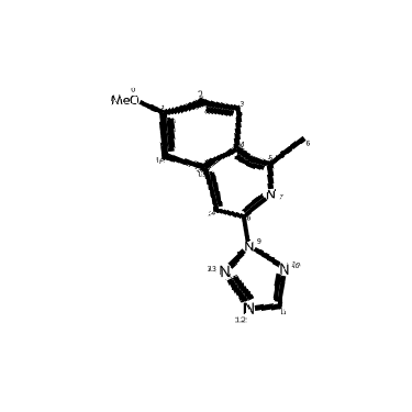 COc1ccc2c(C)nc(-n3ncnn3)cc2c1